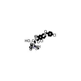 CN(C)N/C(=N/S(C)(=O)=O)NC[C@H](NC(=O)c1c(Cl)cc2c(c1Cl)CCN(C(=O)c1ccc(Cl)cc1)C2)C(=O)O